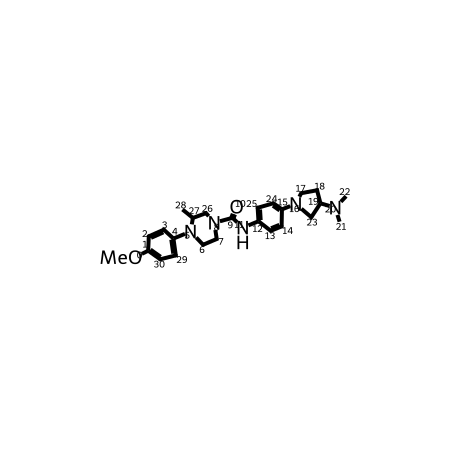 COc1ccc(N2CCN(C(=O)Nc3ccc(N4CCC(N(C)C)C4)cc3)CC2C)cc1